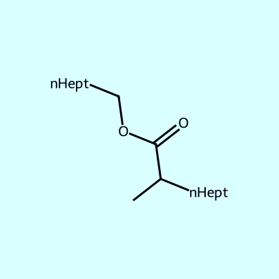 CCCCCCCCOC(=O)C(C)CCCCCCC